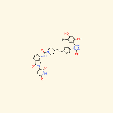 CC(C)c1cc(-c2nnc(O)n2-c2ccc(CCC3CCN(C(=O)Nc4cccc5c4CN(C4CCC(=O)NC4=O)C5=O)CC3)cc2)c(O)cc1O